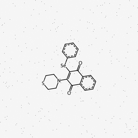 O=C1C([Se]c2ccccc2)=C(N2CCSCC2)C(=O)c2ccccc21